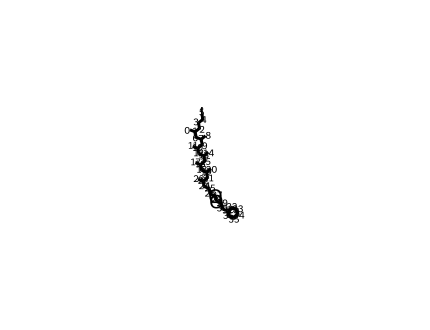 CC(CCCI)CC(C)CC(C)CC(C)CC(C)CC(C)CC(C)CCCOOCCc1ccccc1